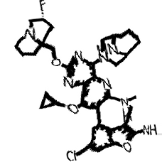 CNc1nc2c(N3CC4CCC(C3)N4)nc(OCC34CCCN3C[C@H](F)C4)nc2c(OC2CC2)c1-c1cc(Cl)cc2oc(N)c(C)c12